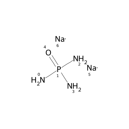 NP(N)(N)=O.[Na].[Na]